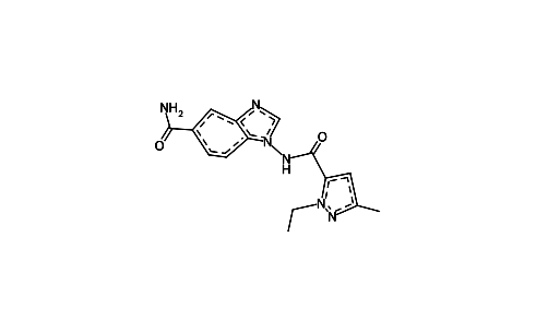 CCn1nc(C)cc1C(=O)Nn1cnc2cc(C(N)=O)ccc21